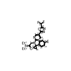 CCN(CC)C(=O)CN(c1ncc(-c2nnc(C(F)F)o2)cn1)C1(c2ccc(F)cc2)CC1